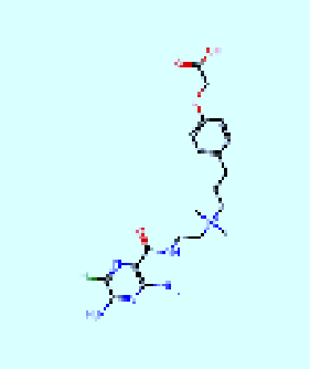 C[N+](C)(CCCc1ccc(OCC(=O)O)cc1)CCNC(=O)c1nc(Cl)c(N)nc1N